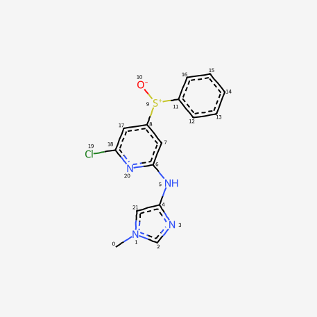 Cn1cnc(Nc2cc([S+]([O-])c3ccccc3)cc(Cl)n2)c1